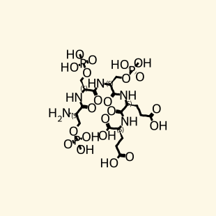 N[C@@H](COP(=O)(O)O)C(=O)N[C@@H](COP(=O)(O)O)C(=O)N[C@@H](COP(=O)(O)O)C(=O)N[C@@H](CCC(=O)O)C(=O)N[C@@H](CCC(=O)O)C(=O)O